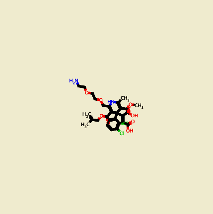 C=C(C)COC(=O)C1=C(COCCOCCN)NC(C)=C(C(=O)OC)C1(/C(=C/C(=O)O)C(=O)O)c1cccc(Cl)c1Cl